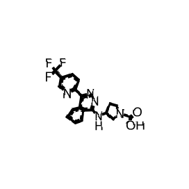 O=C(O)N1CCC(Nc2nnc(-c3ccc(C(F)(F)F)cn3)c3ccccc23)C1